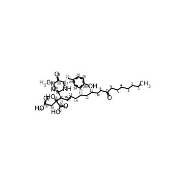 CCCCCCCC(=O)CCCCCC/C=C/[C@H](C(=O)N[C@@H](Cc1ccc(O)cc1)C(=O)NC)[C@@](O)(CC(=O)O)C(=O)O